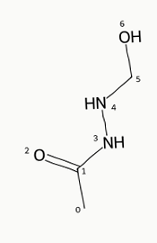 CC(=O)NNCO